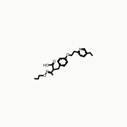 CCCO/N=C(\C)C(Cc1ccc(OCCc2ccc(CC)cn2)cc1)C(=O)O